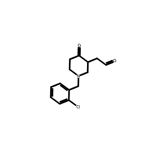 O=CCC1CN(Cc2ccccc2Cl)CCC1=O